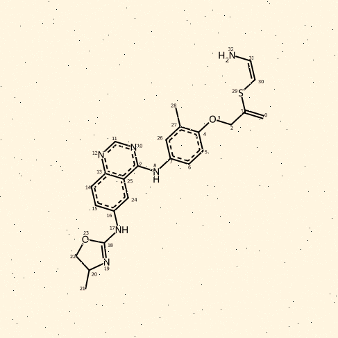 C=C(COc1ccc(Nc2ncnc3ccc(NC4=NC(C)CO4)cc23)cc1C)S/C=C\N